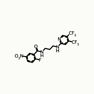 O=C(NCCCNc1cc(C(F)(F)F)c(C(F)(F)F)cn1)c1cc([N+](=O)[O-])ccc1F